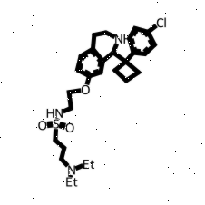 CCN(CC)CCCS(=O)(=O)NCCOc1ccc2c(c1)C(C1(c3ccc(Cl)cc3)CCC1)NCC2